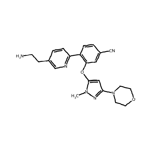 Cn1nc(N2CCOCC2)cc1Oc1cc(C#N)ccc1-c1ccc(CCN)cn1